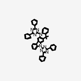 CC1(C)c2ccccc2N(c2nc(-c3ccccc3)nc(-c3ccccc3)n2)c2cc3c4ccccc4n(-c4nc(-c5ccccc5)nc(-c5ccccc5)n4)c3cc21